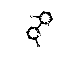 Clc1cccnc1-c1[c]ccc(Br)n1